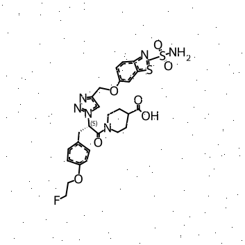 NS(=O)(=O)c1nc2ccc(OCc3cn([C@@H](Cc4ccc(OCCF)cc4)C(=O)N4CCC(C(=O)O)CC4)nn3)cc2s1